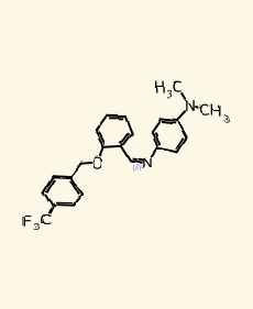 CN(C)c1ccc(/N=C\c2ccccc2OCc2ccc(C(F)(F)F)cc2)cc1